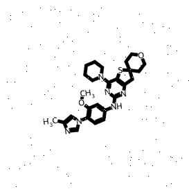 COc1cc(Nc2nc3c(c(N4CCCCC4)n2)SC2(CCOCC2)C3)ccc1-n1cnc(C)c1